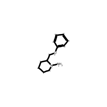 NN1CCCCC1COc1ccccc1